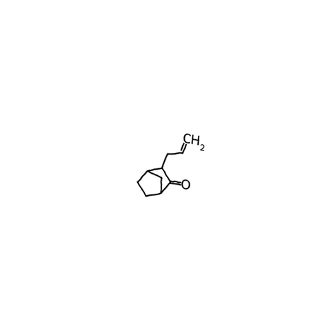 C=CCC1C(=O)C2CCC1C2